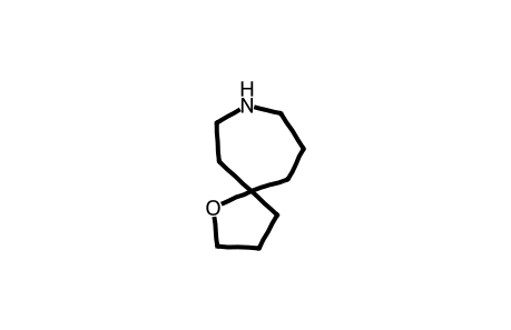 C1CNCCC2(C1)CCCO2